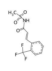 CS(=O)(=O)NC(=O)C=Cc1ccccc1C(F)(F)F